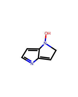 ON1CC=C2N=CC=C21